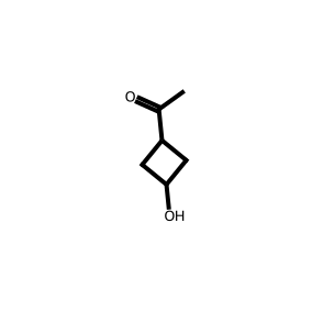 CC(=O)C1CC(O)C1